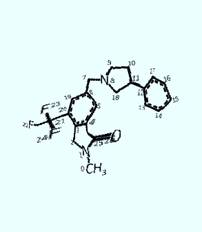 CN1Cc2c(cc(CN3CCC(c4ccccc4)C3)cc2C(F)(F)F)C1=O